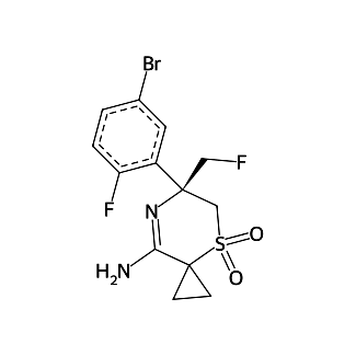 NC1=N[C@](CF)(c2cc(Br)ccc2F)CS(=O)(=O)C12CC2